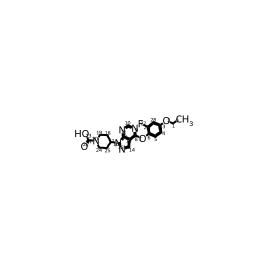 CCOc1ccc(Oc2ncnc3c2cnn3C2CCN(C(=O)O)CC2)c(F)c1